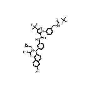 COc1ccc2cc(C(c3cccc(NC(=O)c4cc(C(F)(F)F)nn4-c4cccc(CNC(=O)OC(C)(C)C)c4)c3)N(CC3CC3)C(=O)O)ccc2c1